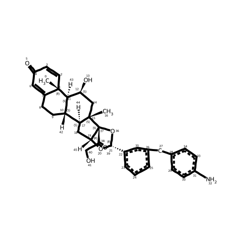 C[C@]12C=CC(=O)C=C1CC[C@@H]1[C@@H]2[C@@H](O)C[C@@]2(C)[C@H]1C[C@H]1O[C@@H](c3cccc(Cc4ccc(N)cc4)c3)O[C@]12C(=O)CO